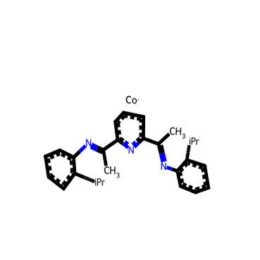 C/C(=N\c1ccccc1C(C)C)c1cccc(/C(C)=N/c2ccccc2C(C)C)n1.[Co]